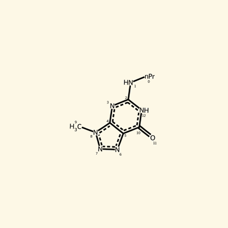 CCCNc1nc2c(nnn2C)c(=O)[nH]1